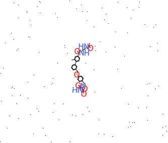 CC(=O)NCCNC(=O)c1ccc(-c2cccc(COc3ccc(Cn4oc(=O)[nH]c4=O)cc3)c2)c(C)c1